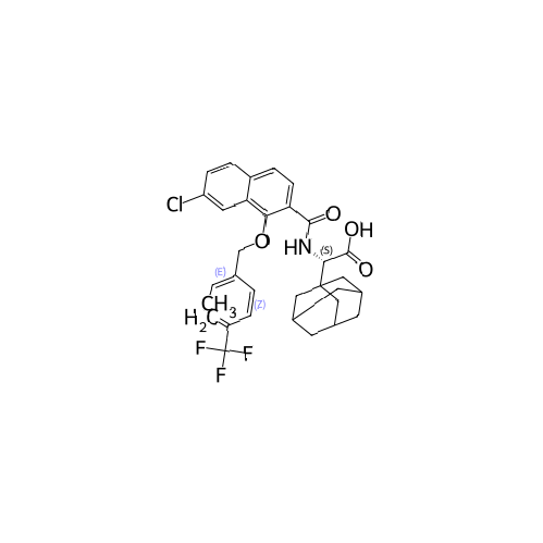 C=C(/C=C\C(=C/C)COc1c(C(=O)N[C@H](C(=O)O)C23CC4CC(CC(C4)C2)C3)ccc2ccc(Cl)cc12)C(F)(F)F